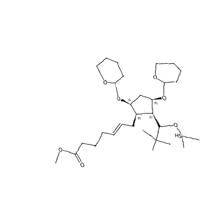 COC(=O)CCCC=CC[C@@H]1[C@H](C(O[SiH](C)C)C(C)(C)C)[C@H](OC2CCCCO2)C[C@@H]1OC1CCCCO1